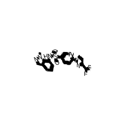 Cn1ncc2cccc(NS(=O)(=O)c3ccc(-n4ccc(C(F)F)n4)nc3)c21